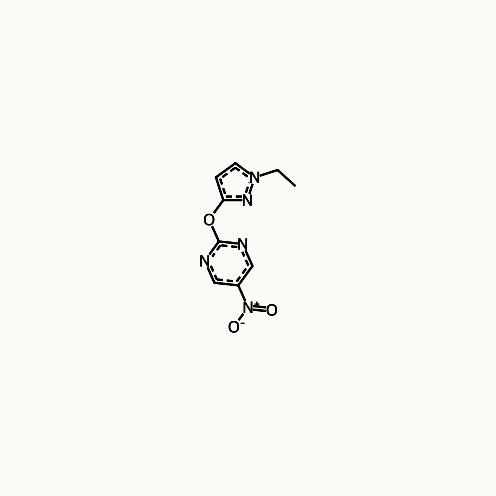 CCn1ccc(Oc2ncc([N+](=O)[O-])cn2)n1